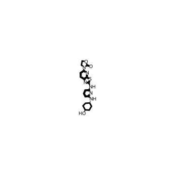 O=C1OCCN1c1ccc2nc(Nc3cccc(N[C@H]4CC[C@H](O)CC4)n3)sc2n1